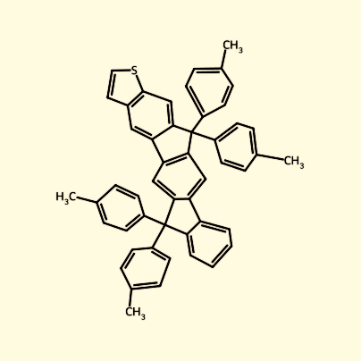 Cc1ccc(C2(c3ccc(C)cc3)c3ccccc3-c3cc4c(cc32)-c2cc3ccsc3cc2C4(c2ccc(C)cc2)c2ccc(C)cc2)cc1